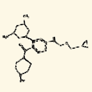 CCCN1CCN(C(=O)c2ccc(NCOCC3CC3)cc2N2CC(C)CC(C)C2)CC1